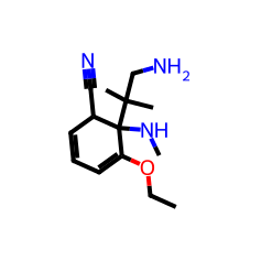 CCOC1=CC=CC(C#N)C1(NC)C(C)(C)CN